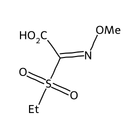 CCS(=O)(=O)C(=NOC)C(=O)O